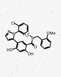 COc1ccccc1CN(C)C(=O)c1cc(-c2ccnn2-c2ccccc2Cl)c(O)cc1O